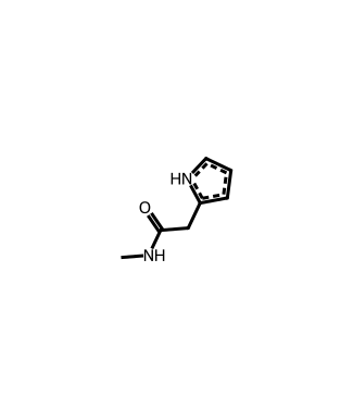 CNC(=O)Cc1ccc[nH]1